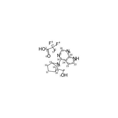 O=C(O)C(F)(F)F.OCC1C2CCC(C2)N1c1ncnc2[nH]ccc12